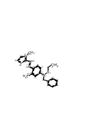 CCON(Cc1ccccc1)c1ccc(/N=N/c2scc[n+]2C)c(C)c1